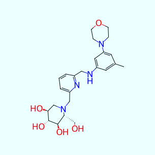 Cc1cc(NCc2cccc(CN3C[C@H](O)[C@@H](O)[C@H](O)[C@H]3CO)n2)cc(N2CCOCC2)c1